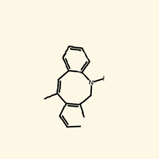 C\C=C/C1=C(\C)CN(I)c2ccccc2/C=C\1C